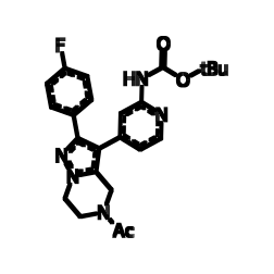 CC(=O)N1CCn2nc(-c3ccc(F)cc3)c(-c3ccnc(NC(=O)OC(C)(C)C)c3)c2C1